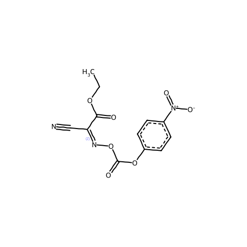 CCOC(=O)/C(C#N)=N\OC(=O)Oc1ccc([N+](=O)[O-])cc1